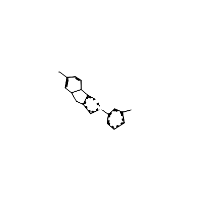 O=C(O)c1cccc(-n2cc3c(n2)C2C=CC(Cl)=CC2C3)c1